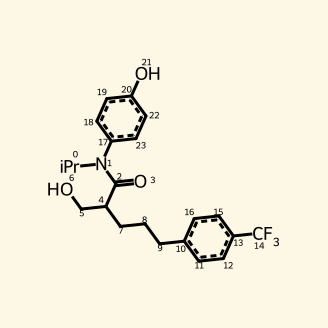 CC(C)N(C(=O)C(CO)CCCc1ccc(C(F)(F)F)cc1)c1ccc(O)cc1